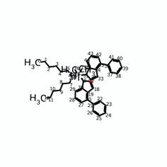 CCCCCC[Si](CCCCCC)=[Hf]([CH3])([CH3])([CH]1C=Cc2c(-c3ccccc3)cccc21)[CH]1C=Cc2c(-c3ccccc3)cccc21